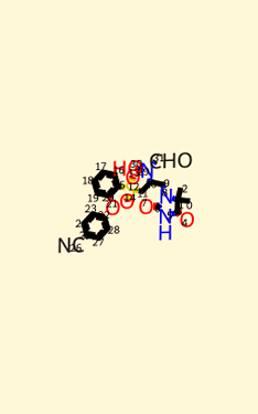 CC1(C)C(=O)NC(=O)N1CC(CS(=O)(=O)c1ccccc1Oc1ccc(C#N)cc1)N(O)C=O